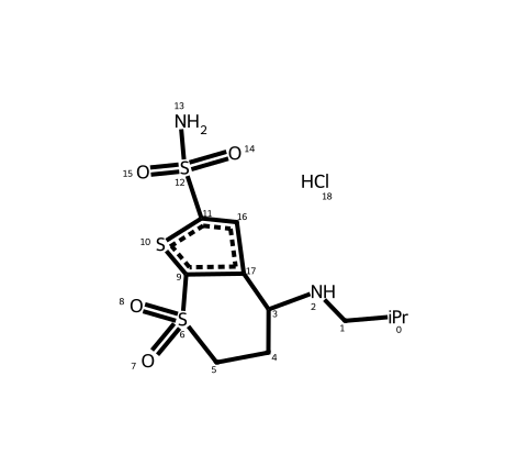 CC(C)CNC1CCS(=O)(=O)c2sc(S(N)(=O)=O)cc21.Cl